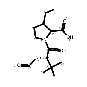 CCC1CCN(C(=O)[C@@H](NC=O)C(C)(C)C)C1C(=O)O